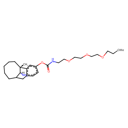 COCCOCCOCCOCCNC(=O)Oc1ccc2c(c1)[C@@]1(C)CCCCCC(C2)[C@@H]1N